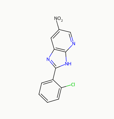 O=[N+]([O-])c1cnc2[nH]c(-c3ccccc3Cl)nc2c1